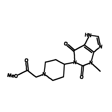 COC(=O)CN1CCC(n2c(=O)c3[nH]cnc3n(C)c2=O)CC1